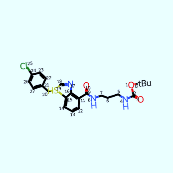 CC(C)(C)OC(=O)NCCCNC(=O)c1cccc2c1N=C[SH]2Cc1ccc(Cl)cc1